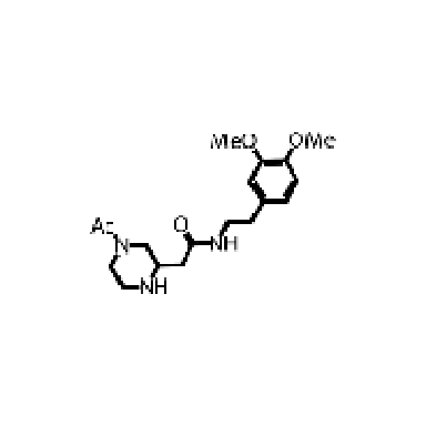 COc1ccc(CCNC(=O)CC2CN(C(C)=O)CCN2)cc1OC